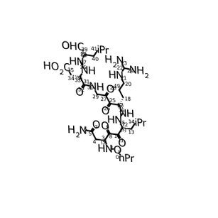 CCCON[C@@H](CC(N)=O)C(=O)C(=O)[C@H](CC(C)C)NN[C@@H](CCCNC(N)N)C(=O)C(=O)CNC(=O)[C@H](CC(=O)O)NN[C@H](C=O)CC(C)C